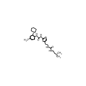 Cc1ccc(NC(=O)Nc2ncc(CCNC(=O)NCCN(C)C)s2)c(N2CCCCC2)c1